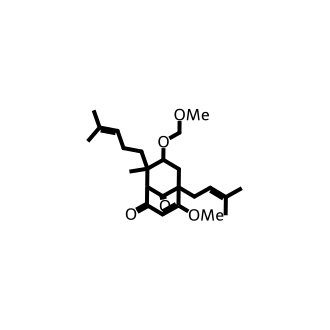 COCOC1CC2(CC=C(C)C)C(=O)C(C(=O)C=C2OC)C1(C)CCC=C(C)C